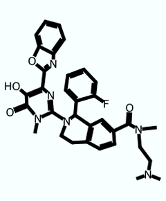 CN(C)CCN(C)C(=O)c1ccc2c(c1)C(c1ccccc1F)N(c1nc(-c3nc4ccccc4o3)c(O)c(=O)n1C)CC2